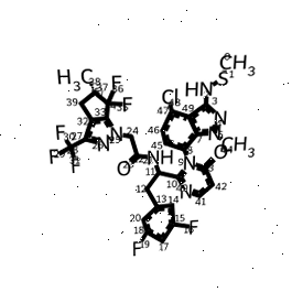 CSNc1nn(C)c2c(-n3c(C(Cc4cc(F)cc(F)c4)NC(=O)Cn4nc(C(F)(F)F)c5c4C(F)(F)[C@@H](C)C5)nccc3=O)ccc(Cl)c12